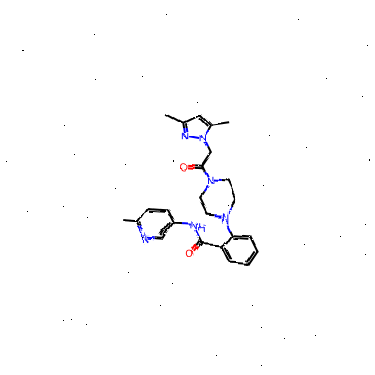 Cc1ccc(NC(=O)c2ccccc2N2CCN(C(=O)Cn3nc(C)cc3C)CC2)cn1